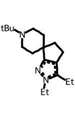 CCc1c2c(nn1CC)C1(CC2)CCN(C(C)(C)C)CC1